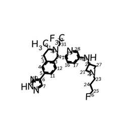 C[C@H]1Cc2cc(-c3cn[nH]n3)ccc2[C@@H](c2ccc(NC3CN(CCCF)C3)cn2)N1CC(F)(F)F